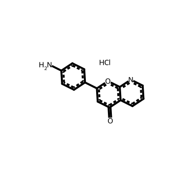 Cl.Nc1ccc(-c2cc(=O)c3cccnc3o2)cc1